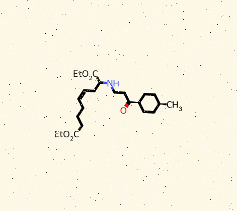 CCOC(=O)CCC/C=C\CC(NCCC(=O)[C@H]1CC[C@@H](C)CC1)C(=O)OCC